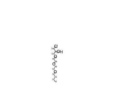 CCCCOCCOCCOCC(O)CCl